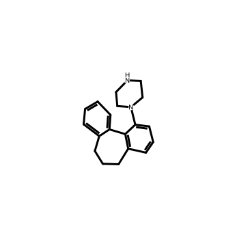 c1ccc2c(c1)CCCc1cccc(N3CCNCC3)c1-2